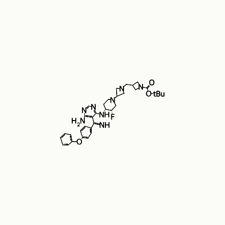 CC(C)(C)OC(=O)N1CC(CN2CC(N3CC[C@@H](Nc4ncnc(N)c4C(=N)c4ccc(Oc5ccccc5)cc4)[C@@H](F)C3)C2)C1